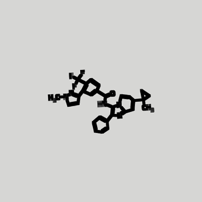 Cn1ccc(-c2cc(C(=O)Nc3c(-c4ccccc4)nc4cc(C5(C)CC5)ccn34)ccc2C(F)(F)F)n1